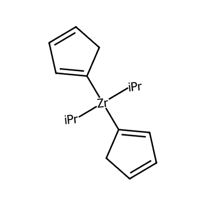 C[CH](C)[Zr]([C]1=CC=CC1)([C]1=CC=CC1)[CH](C)C